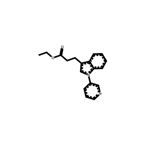 CCOC(=O)CCc1cn(-c2cccnc2)c2ccccc12